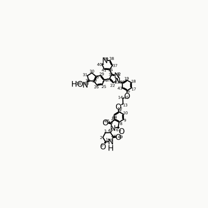 O=C1CCC(N2C(=O)c3ccc(OCCOc4cccc(-n5cc(-c6ccc7c(c6)CCC7=NO)c(-c6ccncc6)n5)c4)cc3C2=O)C(=O)N1